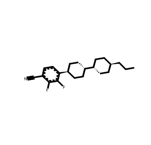 CCC[C@H]1CC[C@H]([C@H]2CC[C@H](c3ccc(C#N)c(F)c3F)CC2)CC1